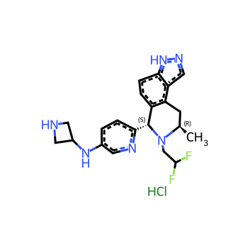 C[C@@H]1Cc2c(ccc3[nH]ncc23)[C@@H](c2ccc(NC3CNC3)cn2)N1CC(F)F.Cl